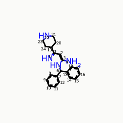 N=C(/C=C(/N)NC(c1ccccc1)c1ccccc1)C1CCNCC1